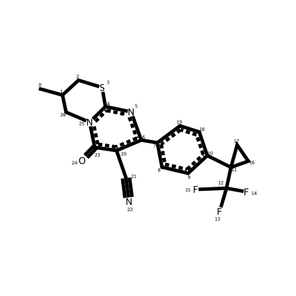 CC1CSc2nc(-c3ccc(C4(C(F)(F)F)CC4)cc3)c(C#N)c(=O)n2C1